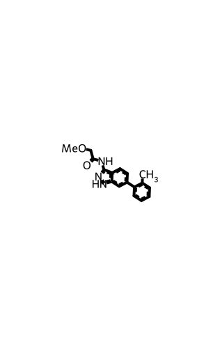 COCC(=O)Nc1n[nH]c2cc(-c3ccccc3C)ccc12